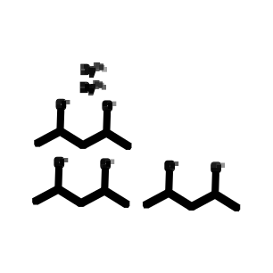 CC([O-])CC(C)[O-].CC([O-])CC(C)[O-].CC([O-])CC(C)[O-].[Dy+3].[Dy+3]